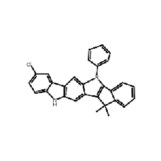 CC1(C)c2ccccc2-c2c1c1cc3[nH]c4ccc(Cl)cc4c3cc1n2-c1ccccc1